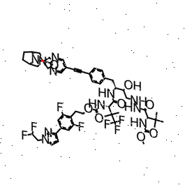 COC(=O)N[C@H](C(=O)NNC[C@H](O)[C@H](Cc1ccc(C#Cc2cnc(N3CC4CCC(C3)N4C3COC3)nc2)cc1)NC(=O)[C@@H](NC(=O)OCCc1c(F)cc(-c2ccn(CC(F)F)n2)cc1F)C(C)(C)C(F)(F)F)C(C)(C)C